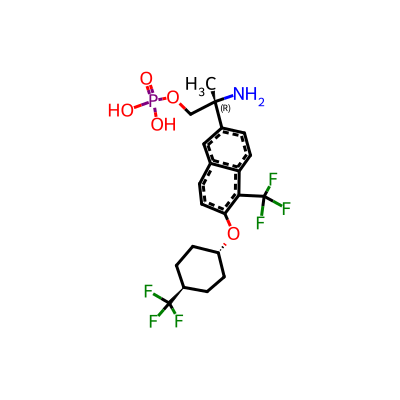 C[C@](N)(COP(=O)(O)O)c1ccc2c(C(F)(F)F)c(O[C@H]3CC[C@H](C(F)(F)F)CC3)ccc2c1